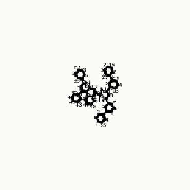 c1ccc(-c2cccc(-c3cc(-c4cccc(-c5ccccc5)c4)nc(-c4cc5nc(-c6ccccc6)cc(-c6ccccc6)c5c5ccccc45)n3)c2)cc1